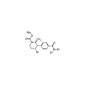 C=C1C(c2ccc(C(=O)N(CC)CC)cc2)C(Br)CCN1C(=O)OC(C)(C)C